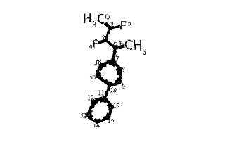 CC(F)C(F)C(C)c1ccc(-c2ccccc2)cc1